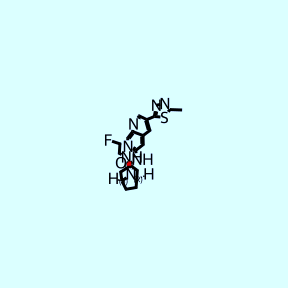 Cc1nnc(-c2cnc3cnc(NC(=O)N4[C@@H]5CC[C@H]4C[C@@H](NCCF)C5)cc3c2)s1